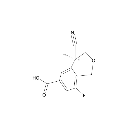 C[C@]1(C#N)COCc2c(F)cc(C(=O)O)cc21